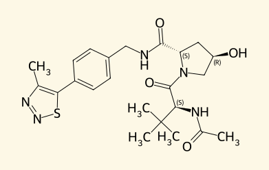 CC(=O)N[C@H](C(=O)N1C[C@H](O)C[C@H]1C(=O)NCc1ccc(-c2snnc2C)cc1)C(C)(C)C